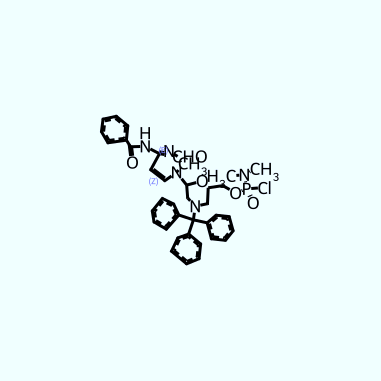 CN(/C=C\C(=N/C=O)NC(=O)c1ccccc1)C1CN(C(c2ccccc2)(c2ccccc2)c2ccccc2)CC(COP(=O)(Cl)N(C)C)O1